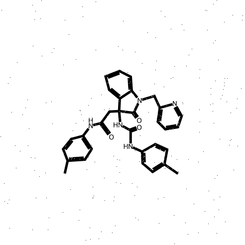 Cc1ccc(NC(=O)CC2(NC(=O)Nc3ccc(C)cc3)C(=O)N(Cc3ccccn3)c3ccccc32)cc1